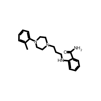 Cc1ccccc1N1CCN(CCCNc2ccccc2C(N)=O)CC1